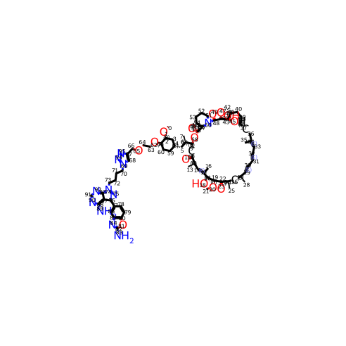 CO[C@@H]1C[C@H](C[C@@H](C)[C@@H]2CC(=O)[C@H](C)/C=C(\C)[C@@H](O)[C@@H](OC)C(=O)[C@H](C)C[C@H](C)/C=C/C=C/C=C(\C)CC[C@@H]3CC[C@@H](C)[C@@](O)(O3)C(=O)C(=O)N3CCCC[C@H]3C(=O)O2)CC[C@H]1OCCOCc1cn(CCCCn2nc(-c3ccc4oc(N)nc4c3)c3c(N)ncnc32)nn1